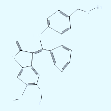 CCOc1cc2c(cc1OCC)/C(=C(/Nc1ccc(CNC(C)C)cc1)c1ccccc1)C(=O)N2